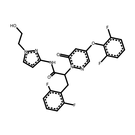 O=C(Nc1ccn(CCO)n1)C(Cc1c(F)cccc1F)n1ncc(Oc2c(F)cccc2F)cc1=O